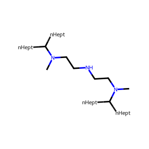 CCCCCCCC(CCCCCCC)N(C)CCNCCN(C)C(CCCCCCC)CCCCCCC